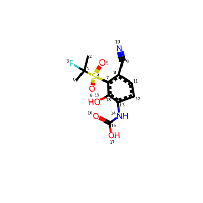 CC(C)(F)S(=O)(=O)c1c(C#N)ccc(NC(=O)O)c1O